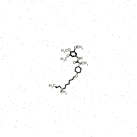 C=CCN(C)CCCCCCO[C@H]1CC[C@H](N(C)C(=O)Nc2cc(OC)c(OC)c(OC)c2)CC1